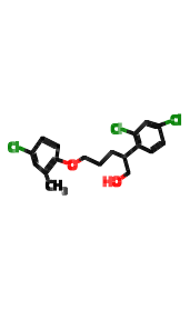 Cc1cc(Cl)ccc1OCCCC(CO)c1ccc(Cl)cc1Cl